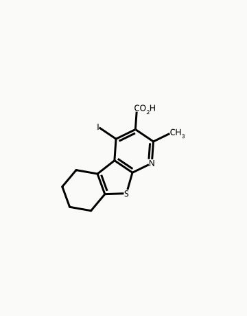 Cc1nc2sc3c(c2c(I)c1C(=O)O)CCCC3